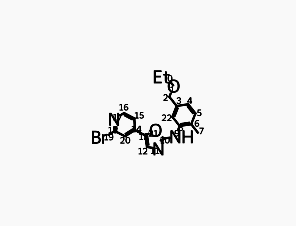 CCOCc1ccc(C)c(Nc2ncc(-c3ccnc(Br)c3)o2)c1